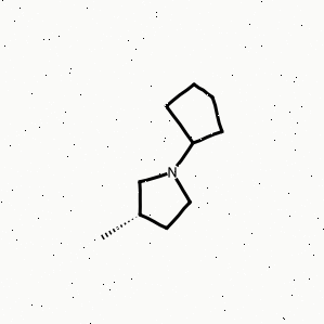 C[C@H]1CCN(C2CCCC2)C1